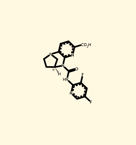 O=C(O)c1ccc2c(n1)N(C(=O)Nc1ncc(F)cc1F)[C@H]1CCN2C1